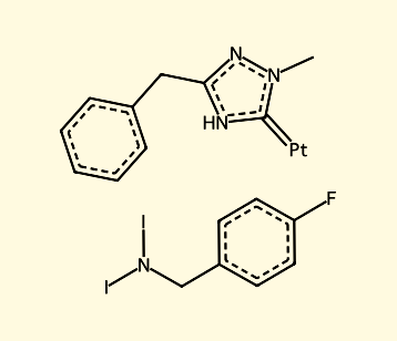 Cn1nc(Cc2ccccc2)[nH][c]1=[Pt].Fc1ccc(CN(I)I)cc1